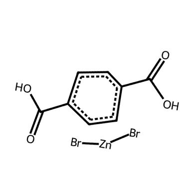 O=C(O)c1ccc(C(=O)O)cc1.[Br][Zn][Br]